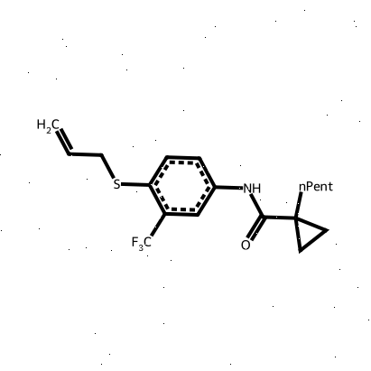 C=CCSc1ccc(NC(=O)C2(CCCCC)CC2)cc1C(F)(F)F